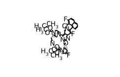 CC(C)(C)OC(=O)N1CCN(c2nc(OC[C@@H]3C[C@@H](F)CN3C(=O)OC(C)(C)C)nc3c(F)c(-c4cccc5ccc(F)c(Cl)c45)ncc23)C[C@@H]1CC#N